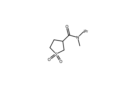 CC(C)N(C)C(=O)C1CCS(=O)(=O)C1